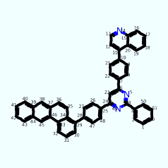 c1ccc(-c2nc(-c3ccc(-c4ccnc5ccccc45)cc3)cc(-c3ccc(-c4cccc5c4ccc4cc6ccccc6cc45)cc3)n2)cc1